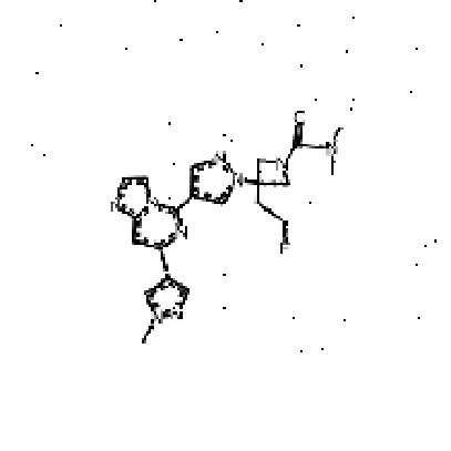 CN(C)C(=O)N1CC(CCF)(n2cc(-c3nc(-c4cnn(C)c4)cc4nccn34)cn2)C1